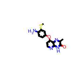 CSc1cc(Oc2ccnc3[nH]c(=O)c(C)nc23)ccc1N